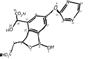 O=C(O)CC1OB(O)c2cc(Oc3cnccn3)cc(C(O)C(=O)O)c21